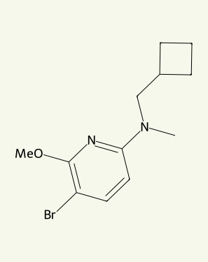 COc1nc(N(C)CC2CCC2)ccc1Br